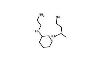 CC(N)CCN.NCCNC1CCCCC1